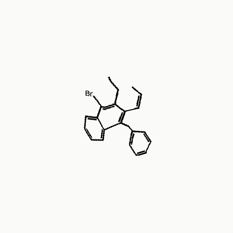 C/C=C\c1c(CC)c(Br)c2ccccc2c1-c1ccccc1